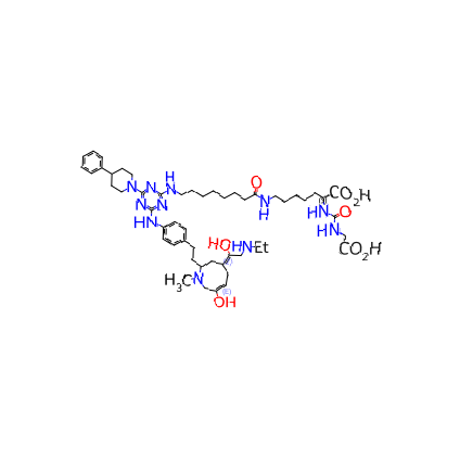 CCNC/C(O)=C1\C/C=C(/O)CN(C)C(CCc2ccc(Nc3nc(NCCCCCCCC(=O)NCCCCC[C@H](NC(=O)NCC(=O)O)C(=O)O)nc(N4CCC(c5ccccc5)CC4)n3)cc2)C1